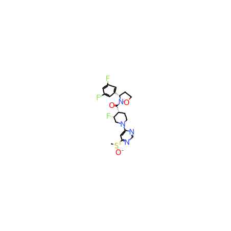 C[S@+]([O-])c1cc(N2CC[C@@H](C(=O)N3OCC[C@H]3c3cc(F)cc(F)c3)[C@@H](F)C2)ncn1